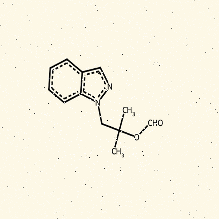 CC(C)(Cn1ncc2ccccc21)OC=O